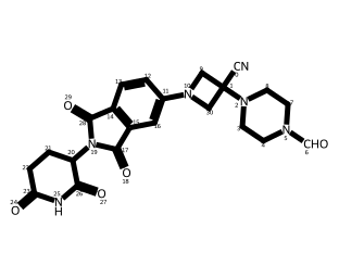 N#CC1(N2CCN(C=O)CC2)CN(c2ccc3c(c2)C(=O)N(C2CCC(=O)NC2=O)C3=O)C1